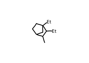 CCC1C(C)C2CCC1(CC)C2